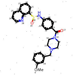 COc1cccc(CN2CCN(C(=O)c3ccc(N[S+]([O-])c4cccc5cccnc45)cc3)CC2)c1